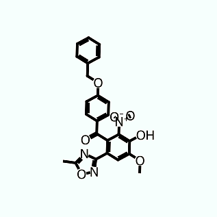 COc1cc(-c2noc(C)n2)c(C(=O)c2ccc(OCc3ccccc3)cc2)c([N+](=O)[O-])c1O